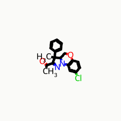 CC(=O)C1=NN2c3cc(Cl)ccc3OCC2C1(C)c1ccccc1